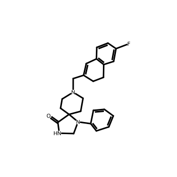 O=C1NCN(c2ccccc2)C12CCN(CC1=Cc3ccc(F)cc3CC1)CC2